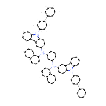 c1ccc(-c2ccc(-n3c4ccccc4c4cc(N(c5cccc(N(c6ccc7c(c6)c6ccccc6n7-c6ccc(-c7ccccc7)cc6)c6cccc7ccccc67)c5)c5cccc6ccccc56)ccc43)cc2)cc1